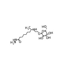 CC(CCCCCCC(=O)NN)NCCO[C@@H]1O[C@H](CO)[C@H](O)[C@H](O)[C@H]1O